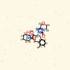 Cc1cccc(C)c1COC1CC2CCC(C1)N2CC(O)Cn1nc2n(c1=O)CCOC2